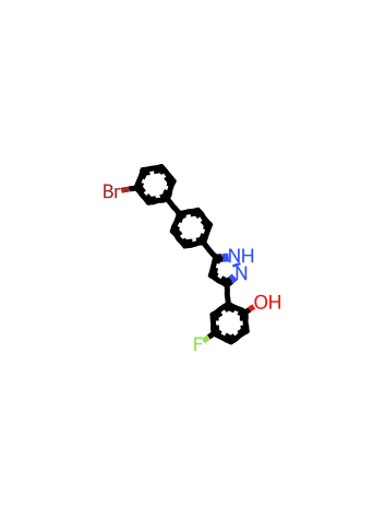 Oc1ccc(F)cc1-c1cc(-c2ccc(-c3cccc(Br)c3)cc2)[nH]n1